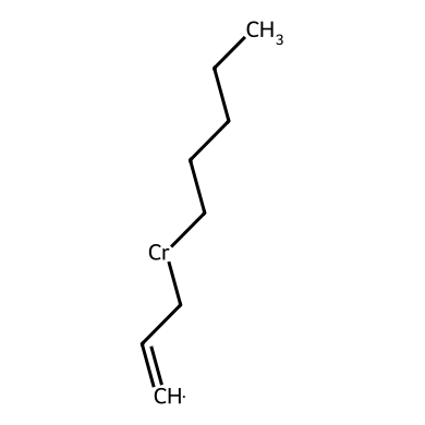 [CH]=C[CH2][Cr][CH2]CCCC